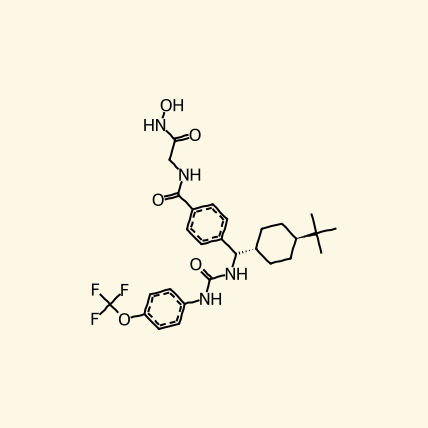 CC(C)(C)[C@H]1CC[C@H](C(NC(=O)Nc2ccc(OC(F)(F)F)cc2)c2ccc(C(=O)NCC(=O)NO)cc2)CC1